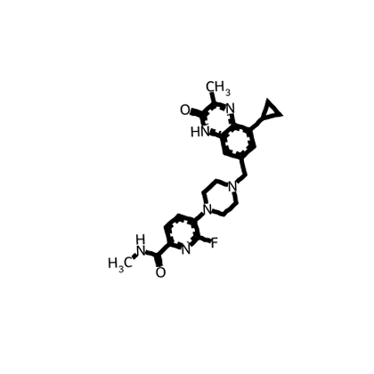 CNC(=O)c1ccc(N2CCN(Cc3cc(C4CC4)c4nc(C)c(=O)[nH]c4c3)CC2)c(F)n1